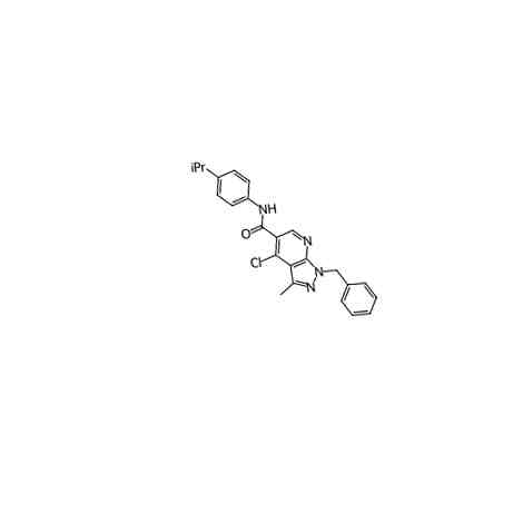 Cc1nn(Cc2ccccc2)c2ncc(C(=O)Nc3ccc(C(C)C)cc3)c(Cl)c12